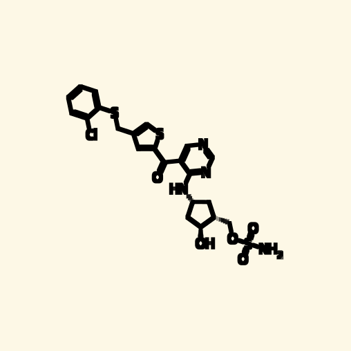 NS(=O)(=O)OC[C@H]1C[C@@H](Nc2ncncc2C(=O)c2cc(CSc3ccccc3Cl)cs2)C[C@@H]1O